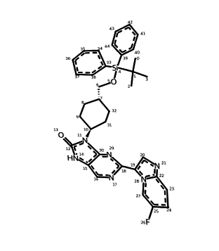 CC(C)(C)[Si](OC[C@H]1CC[C@H](n2c(=O)[nH]c3cnc(-c4cnc5ccc(F)cn45)nc32)CC1)(c1ccccc1)c1ccccc1